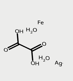 O.O.O=C(O)C(=O)O.[Ag].[Fe]